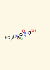 O=C(O)C=CNC(=O)c1ccc(C(=O)NCc2cccc(O)c2)cc1Cl